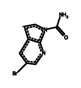 NC(=O)n1c[c]c2cc(Br)cnc21